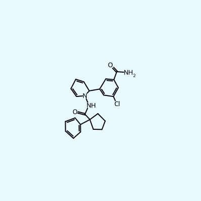 NC(=O)c1cc(Cl)cc(C2C=CC=CN2NC(=O)C2(c3ccccc3)CCCC2)c1